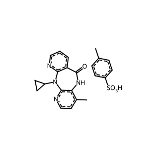 Cc1ccc(S(=O)(=O)O)cc1.Cc1ccnc2c1NC(=O)c1cccnc1N2C1CC1